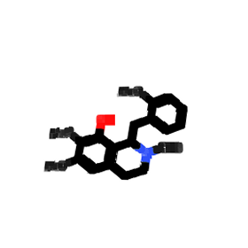 COc1ccccc1CC1c2c(cc(OC)c(OC)c2O)CCN1C=O